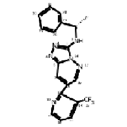 C[C@H](Nc1nnc2cc(-c3ncccc3C(F)(F)F)cnn12)c1ccccc1